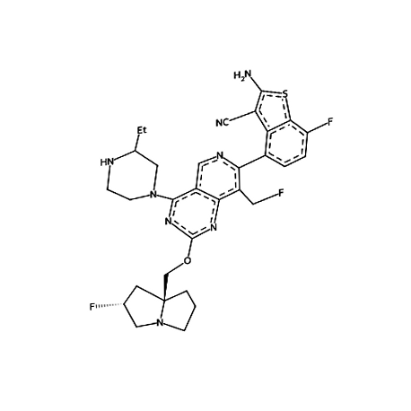 CCC1CN(c2nc(OC[C@@]34CCCN3C[C@H](F)C4)nc3c(CF)c(-c4ccc(F)c5sc(N)c(C#N)c45)ncc23)CCN1